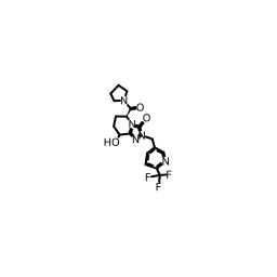 O=C([C@@H]1CCC(O)c2nn(Cc3ccc(C(F)(F)F)nc3)c(=O)n21)N1CCCC1